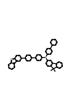 CC1(C)c2ccccc2-c2cc(N(c3ccc(-c4ccccc4)cc3)c3ccc(-c4ccc(-c5ccc6oc7ccccc7c6c5)cc4)cc3)ccc21